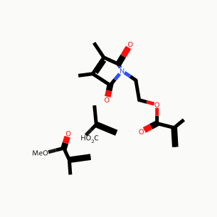 C=C(C)C(=O)O.C=C(C)C(=O)OC.C=C(C)C(=O)OCCN1C(=O)C(C)=C(C)C1=O